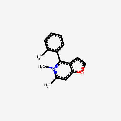 Cc1ccccc1-c1c2ccoc2cc(C)[n+]1C